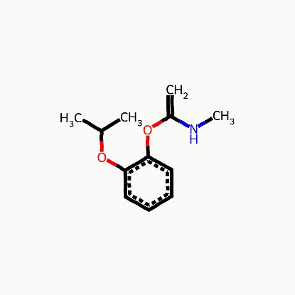 C=C(NC)Oc1ccccc1OC(C)C